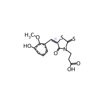 COc1c(O)cccc1/C=C1/SC(=S)N(CCC(=O)O)C1=O